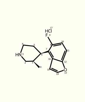 C[C@H]1CNCC[C@H]1c1c(F)ccc2occc12.Cl